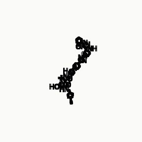 C#Cc1ccc(CNC(=O)[C@@H]2C[C@@H](O)CN2C(=O)[C@@H](NC(=O)N2CCC(N3CCC(c4cnc(N5CCc6[nH]c7nnc(-c8ccccc8O)cc7c6[C@H]5C)nc4)CC3)CC2)C(C)(C)C)cc1